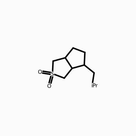 CC(C)CC1CCC2CS(=O)(=O)CC12